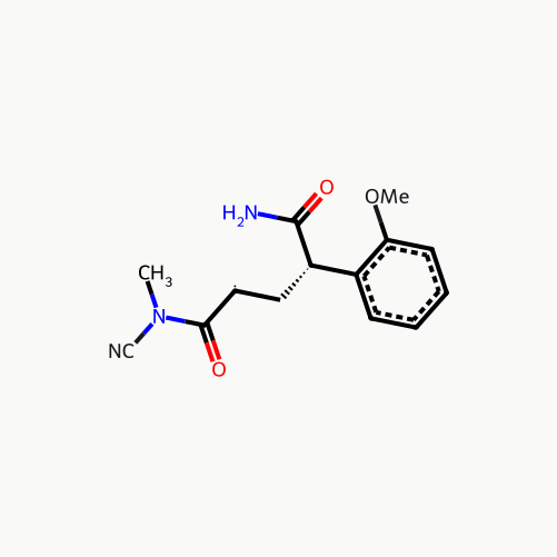 COc1ccccc1[C@H](C[CH]C(=O)N(C)C#N)C(N)=O